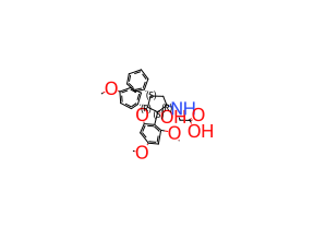 COc1ccc([C@@]23Oc4cc(OC)cc(OC)c4[C@]2(O)[C@H](NCC(=O)O)C[C@H]3c2ccccc2)cc1